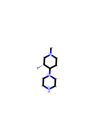 C[C@@H]1CN(C)CCC1N1CCNCC1